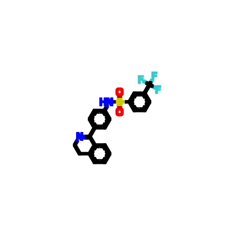 O=S(=O)(Nc1ccc(C2=NCCc3ccccc32)cc1)c1cccc(C(F)(F)F)c1